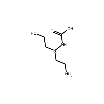 NCCN(CCO)NC(=O)O